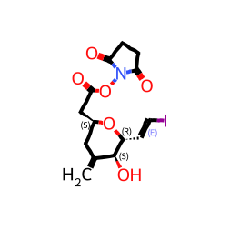 C=C1C[C@@H](CC(=O)ON2C(=O)CCC2=O)O[C@H](/C=C/I)[C@H]1O